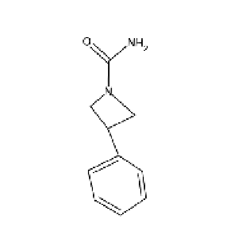 NC(=O)N1CC(c2ccccc2)C1